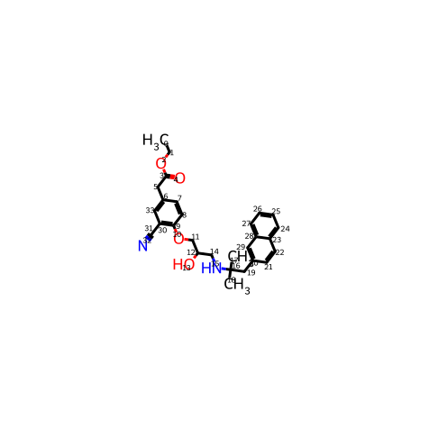 CCOC(=O)Cc1ccc(OCC(O)CNC(C)(C)Cc2ccc3ccccc3c2)c(C#N)c1